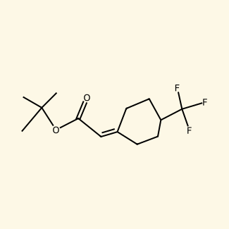 CC(C)(C)OC(=O)C=C1CCC(C(F)(F)F)CC1